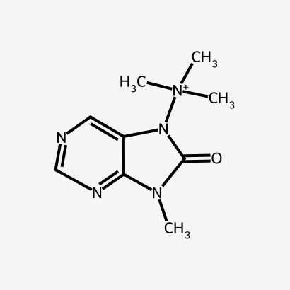 Cn1c(=O)n([N+](C)(C)C)c2cncnc21